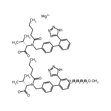 CCCCC(=O)N(Cc1ccc(-c2ccccc2-c2nnn[nH]2)cc1)[C@H](C(=O)[O-])C(C)C.CCCCC(=O)N(Cc1ccc(-c2ccccc2-c2nnn[nH]2)cc1)[C@H](C(=O)[O-])C(C)C.O.O.O.O.O.O.[Mg+2]